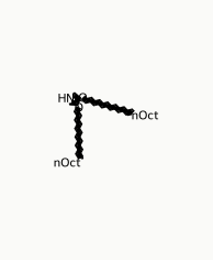 CCCCCCCCC=CCCCCCCCCCCO[C@@H]1CNC[C@H]1OCCCCCCCCCCC=CCCCCCCCC